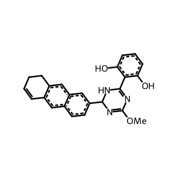 COC1=NC(c2ccc3cc4c(cc3c2)CCC=C4)NC(c2c(O)cccc2O)=N1